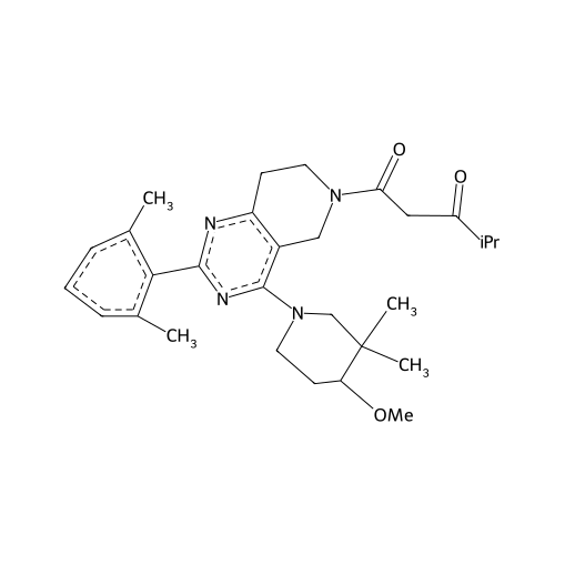 COC1CCN(c2nc(-c3c(C)cccc3C)nc3c2CN(C(=O)CC(=O)C(C)C)CC3)CC1(C)C